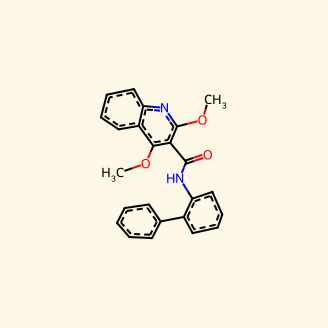 COc1nc2ccccc2c(OC)c1C(=O)Nc1ccccc1-c1ccccc1